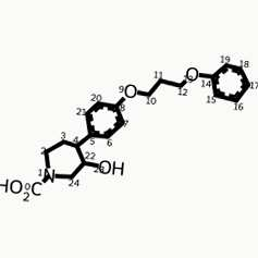 O=C(O)N1CCC(c2ccc(OCCCOc3ccccc3)cc2)C(O)C1